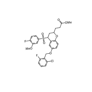 COC(=O)CCC1CC(S(=O)(=O)c2ccc(F)c(OC)c2)c2cc(OCc3c(F)cccc3Cl)ccc2O1